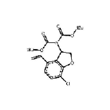 C=Cc1ccc(Cl)c2c1C(N(C(=O)OC(C)(C)C)C(=O)OC(C)(C)C)CO2